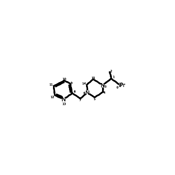 CC(C)C(C)N1CCN(Cc2ccccn2)CC1